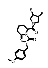 COc1ccc(Cn2nc3n(c2=O)C(C(=O)N2CC(F)C(F)C2)CCC3)cc1